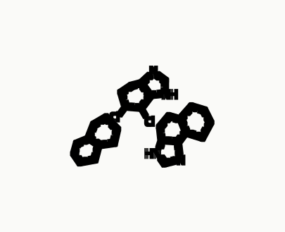 Clc1ccc2nc[nH]c2c1Cl.c1ccc2c(c1)ccc1[nH]cnc12.c1ccc2ccccc2c1